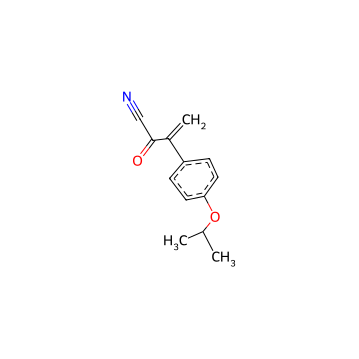 C=C(C(=O)C#N)c1ccc(OC(C)C)cc1